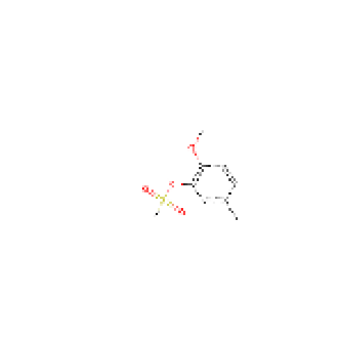 COc1ccc(C)cc1OS(C)(=O)=O